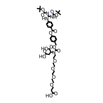 CC(C)(C)OC(=O)/N=C(/NC(=O)OC(C)(C)C)Nc1ccc(C(=O)Oc2ccc(COC(=O)N(CCOCCOCCOCCOCCC(=O)O)C(CC(=O)O)C(=O)O)cc2)cc1